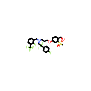 CS(=O)(=O)c1cc(OCCCN(Cc2cccc(C(F)(F)F)c2F)CC(F)(F)c2ccc(F)cc2)ccc1C=O